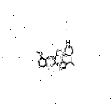 COc1ccccc1[C@H](C)N1C(N)N([C@@H]2CCCNC2)c2c(C(C)C)cnn2C1N